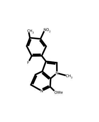 COc1nccc2c(-c3cc([N+](=O)[O-])c(C)cc3F)cn(C)c12